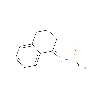 CC(C)(C)[S@+]([O-])/N=C1\CCCc2ccccc21